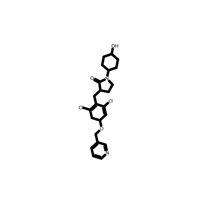 O=C1C(CC2=C(Cl)CC(OCc3cccnc3)C=C2Cl)CCN1C1CCC(O)CC1